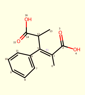 C/C(C(=O)O)=C(\c1ccccc1)C(C)C(=O)O